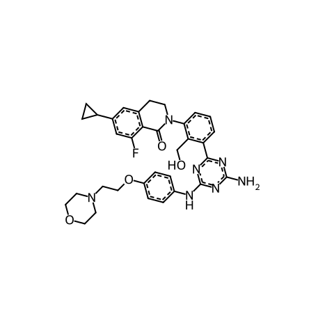 Nc1nc(Nc2ccc(OCCN3CCOCC3)cc2)nc(-c2cccc(N3CCc4cc(C5CC5)cc(F)c4C3=O)c2CO)n1